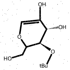 CC(C)(C)O[C@H]1C(CO)OC=C(O)[C@@H]1O